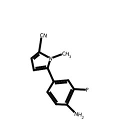 Cn1c(C#N)ccc1-c1ccc(N)c(F)c1